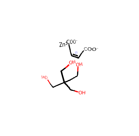 O=C([O-])/C=C\C(=O)[O-].OCC(CO)(CO)CO.[Zn+2]